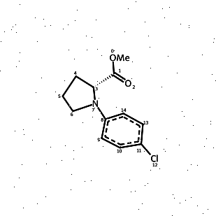 COC(=O)[C@H]1CCCN1c1ccc(Cl)cc1